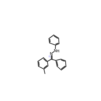 Cc1cccc(/C(=N/Nc2ccccc2)c2ccccc2)c1